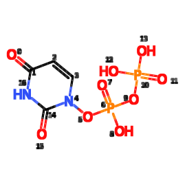 O=c1ccn(OP(=O)(O)OP(=O)(O)O)c(=O)[nH]1